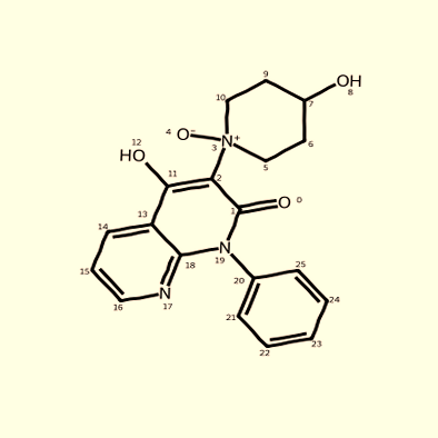 O=c1c([N+]2([O-])CCC(O)CC2)c(O)c2cccnc2n1-c1ccccc1